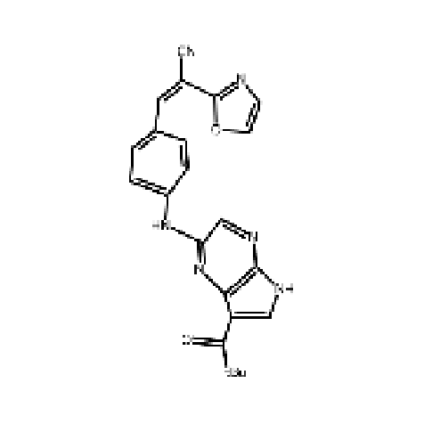 CC(C)(C)C(=O)c1c[nH]c2ncc(Nc3ccc(C=C(C#N)c4ncco4)cc3)nc12